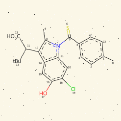 Cc1ccc(C(=S)n2c(C)c(C(C(=O)O)C(C)(C)C)c3cc(O)c(Cl)cc32)cc1